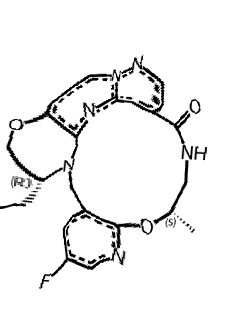 CC[C@@H]1COc2cn3ncc4c3nc2N1Cc1cc(F)cnc1O[C@@H](C)CNC4=O